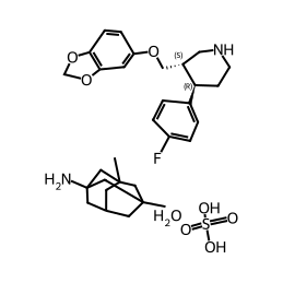 CC12CC3CC(C)(C1)CC(N)(C3)C2.Fc1ccc([C@@H]2CCNC[C@H]2COc2ccc3c(c2)OCO3)cc1.O.O=S(=O)(O)O